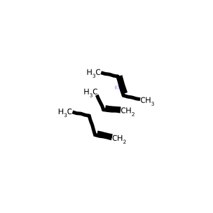 C/C=C/C.C=CC.C=CCC